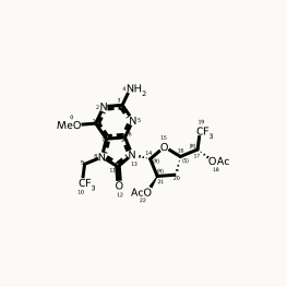 COc1nc(N)nc2c1n(CC(F)(F)F)c(=O)n2[C@@H]1O[C@H]([C@@H](OC(C)=O)C(F)(F)F)C[C@H]1OC(C)=O